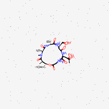 CCCCCCCCCC[C@H]1OC(=O)CNC(=O)[C@H]([C@H](C)O)NC(=O)[C@H](CO)NC(=O)[C@H]([C@@H](C)CC)NC(=O)[C@H](CCC)N(C)C(=O)[C@@H]1C